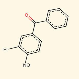 CCc1cc(C(=O)c2ccccc2)ccc1N=O